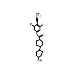 CCCC1CCC(C2CCC(C(=O)Oc3cc(F)c(C#CC(F)(F)F)c(F)c3)CC2)CC1